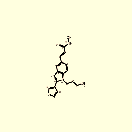 O=C(C=Cc1ccc2c(c1)nc(-c1ccsc1)n2CCCO)NO